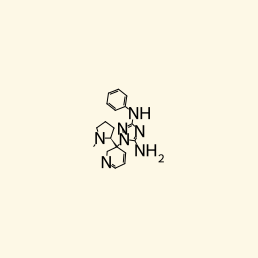 CN1CCC[C@H]1C1(n2nc(Nc3ccccc3)nc2N)C=CC=NC1